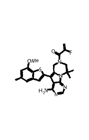 C=C(F)C(=O)N1Cc2c(-c3cc4cc(C)cc(OC)c4s3)c3c(N)ncnc3n2C(C)(C)C1